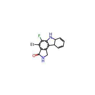 CCc1c(F)c2c(c3c1C(=O)NC3)C1C=CC=CC1N2